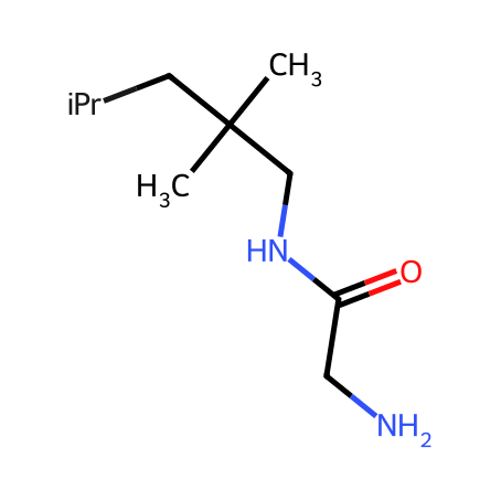 CC(C)CC(C)(C)CNC(=O)CN